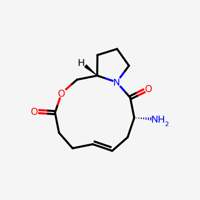 N[C@@H]1C/C=C/CCC(=O)OC[C@@H]2CCCN2C1=O